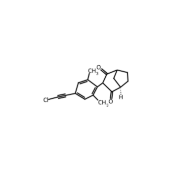 Cc1cc(C#CCl)cc(C)c1C1C(=O)C2CC[C@H](C2)C1=O